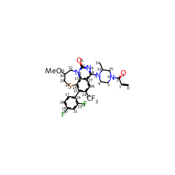 C=CC(=O)N1CCN(c2nc(=O)n3c4c(c(-c5ccc(F)cc5F)c(C(F)(F)F)cc24)SCC(OC)C3)C(C)C1